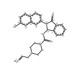 C=CCN1CCN(C(=O)OC2c3ccccc3C(=O)N2c2ccc3ccc(Cl)nc3n2)CC1